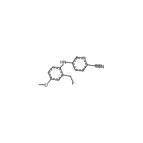 COc1ccc(Nc2ccc(C#N)nc2)c(CF)c1